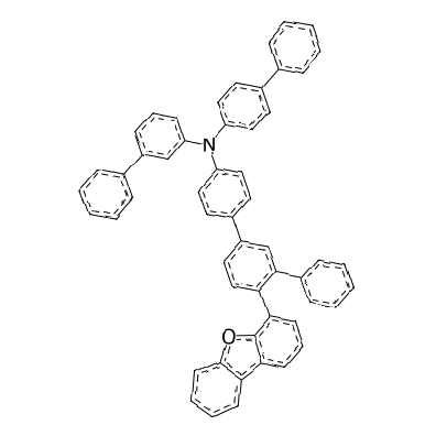 c1ccc(-c2ccc(N(c3ccc(-c4ccc(-c5cccc6c5oc5ccccc56)c(-c5ccccc5)c4)cc3)c3cccc(-c4ccccc4)c3)cc2)cc1